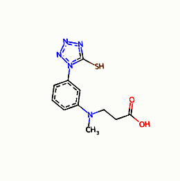 CN(CCC(=O)O)c1cccc(-n2nnnc2S)c1